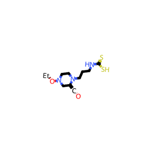 CCON1CCN(CCCNC(=S)S)C(=C=O)C1